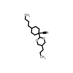 CCCCC1CCC(C#N)(C2OCC(CCC)CO2)CC1